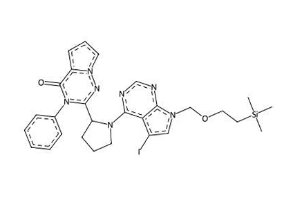 C[Si](C)(C)CCOCn1cc(I)c2c(N3CCCC3c3nn4cccc4c(=O)n3-c3ccccc3)ncnc21